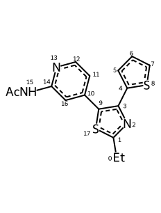 CCc1nc(-c2cccs2)c(-c2ccnc(NC(C)=O)c2)s1